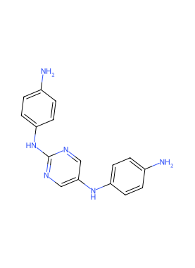 Nc1ccc(Nc2cnc(Nc3ccc(N)cc3)nc2)cc1